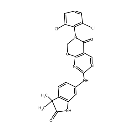 CC1(C)C(=O)Nc2cc(Nc3ncc4c(n3)OCN(c3c(Cl)cccc3Cl)C4=O)ccc21